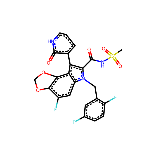 CS(=O)(=O)NC(=O)c1c(-c2ccc[nH]c2=O)c2c3c(c(F)cc2n1Cc1cc(F)ccc1F)OCO3